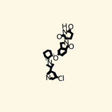 O=C1CC[C@H](N2Cc3cc(O[C@H]4CCCC[C@H]4N4CC(c5cncc(Cl)c5)C4)ccc3C2=O)C(=O)N1